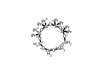 CC(C)[Si]1(C(C)C)O[SiH2]O[SiH2]O[SiH2]O[SiH2]O[Si](C(C)C)(C(C)C)O[Si](C(C)C)(C(C)C)O[Si](C(C)C)(C(C)C)O1